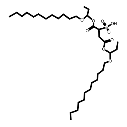 CCCCCCCCCCCCOC(CC)OC(=O)CC(C(=O)OC(CC)OCCCCCCCCCCCC)S(=O)(=O)O